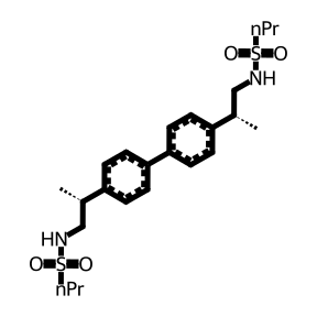 CCCS(=O)(=O)NC[C@H](C)c1ccc(-c2ccc([C@@H](C)CNS(=O)(=O)CCC)cc2)cc1